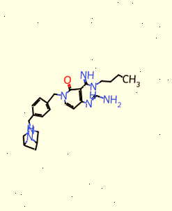 CCCCNC(=N)c1c(/N=C/N)ccn(Cc2ccc(CN3CC4CC(C3)N4)cc2)c1=O